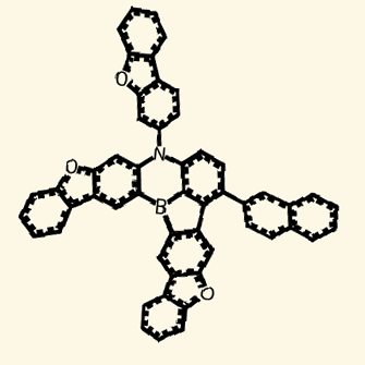 c1ccc2cc(-c3ccc4c5c3-c3cc6oc7ccccc7c6cc3B5c3cc5c(cc3N4c3ccc4c(c3)oc3ccccc34)oc3ccccc35)ccc2c1